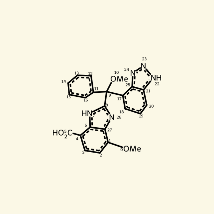 COc1ccc(C(=O)O)c2[nH]c(C(OC)(c3ccccc3)c3cccc4[nH]nnc34)nc12